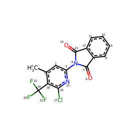 Cc1cc(N2C(=O)c3ccccc3C2=O)nc(Cl)c1C(F)(F)F